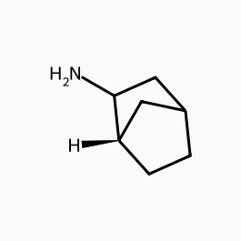 NC1CC2CC[C@H]1C2